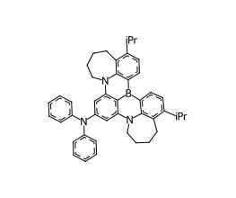 CC(C)c1ccc2c3c1CCCCN3c1cc(N(c3ccccc3)c3ccccc3)cc3c1B2c1ccc(C(C)C)c2c1N3CCCC2